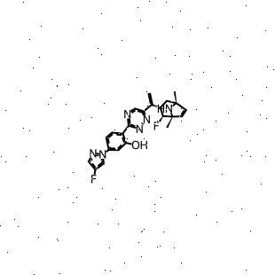 C=C(c1cnc(-c2ccc(-n3cc(F)cn3)cc2O)nn1)[C@H]1C[C@]2(C)C=C[C@@](C)(N2)[C@H]1F